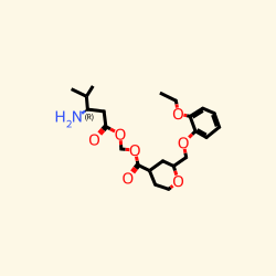 CCOc1ccccc1OCC1CC(C(=O)OCOC(=O)C[C@@H](N)C(C)C)CCO1